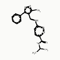 Cc1onc(-c2ccccc2)c1CNc1ccc(C(=O)NC(C)C)nn1